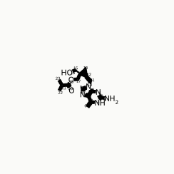 C=C1NC(N)=Nc2c1ncn2/C=C1/C[C@@]1(CO)COC(=O)C(C)C